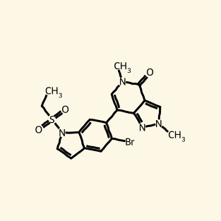 CCS(=O)(=O)n1ccc2cc(Br)c(-c3cn(C)c(=O)c4cn(C)nc34)cc21